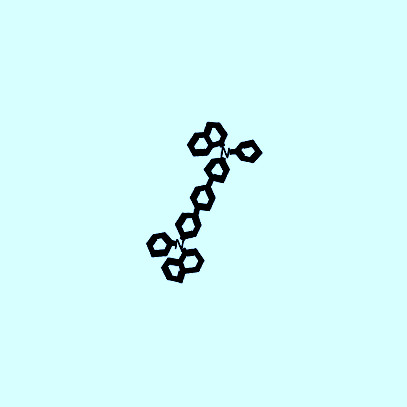 C1=CC2=CC=CC(N(c3ccccc3)c3ccc(-c4ccc(-c5ccc(N(C6=CCCc7ccccc76)c6ccccc6)cc5)cc4)cc3)C2C=C1